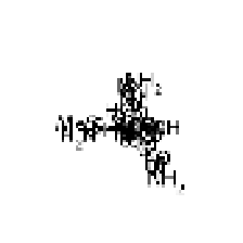 CSS[C@@H](CN)CC[C@@H](N)C(=O)OC1C(COP(=O)(O)O[C@H]2C[C@H](n3ccc(N)nc3=O)O[C@@H]2COP(=O)(O)O)OC(n2cnc3c(N)ncnc32)C1O